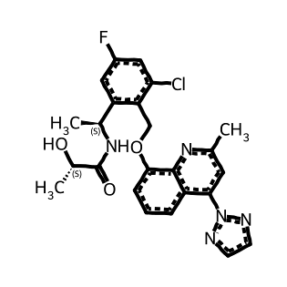 Cc1cc(-n2nccn2)c2cccc(OCc3c(Cl)cc(F)cc3[C@H](C)NC(=O)[C@H](C)O)c2n1